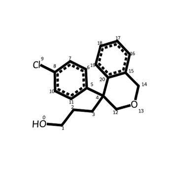 OCCCC1(c2ccc(Cl)cc2)COCc2ccccc21